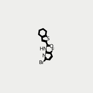 O=C(Nc1nc(Br)ccc1F)c1cc2c(s1)CCCC2